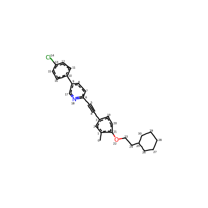 Cc1cc(C#Cc2ccc(-c3ccc(Cl)cc3)cn2)ccc1OCC[C]1CCCCC1